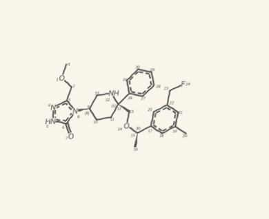 COCc1n[nH]c(=O)n1[C@@H]1CC[C@@](CO[C@H](C)c2cc(C)cc(CF)c2)(c2ccccc2)NC1